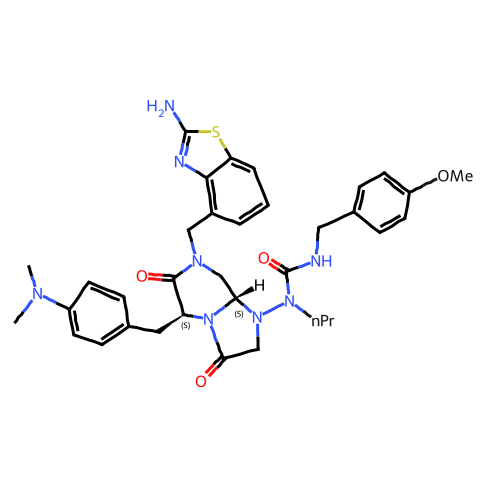 CCCN(C(=O)NCc1ccc(OC)cc1)N1CC(=O)N2[C@@H](Cc3ccc(N(C)C)cc3)C(=O)N(Cc3cccc4sc(N)nc34)C[C@@H]21